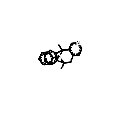 CC12Cc3ccncc3C(C)(c3ccccc31)N2c1ccccc1